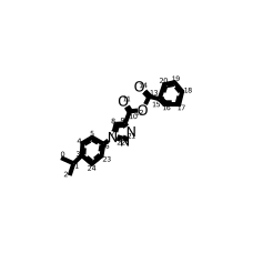 CC(C)c1ccc(-n2cc(C(=O)OC(=O)c3ccccc3)nn2)cc1